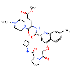 CCCOC(=O)CCC(NC(=O)c1cc(OCC(=O)N2CCCC2C(=O)NC2CCC2)c2ccc(C)cc2n1)C(=O)N1CCN(C(=O)OCC)CC1